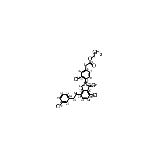 CCOC(=O)Cc1ccc(N2Cc3c(CCc4cccc(Cl)c4)ccc(Cl)c3C2=O)c(Cl)c1